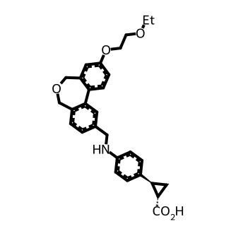 CCOCCOc1ccc2c(c1)COCc1ccc(CNc3ccc([C@H]4C[C@@H]4C(=O)O)cc3)cc1-2